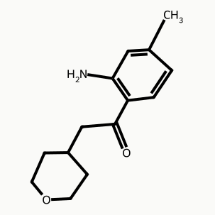 Cc1ccc(C(=O)CC2CCOCC2)c(N)c1